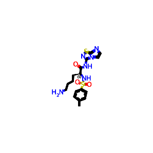 Cc1ccc(S(=O)(=O)N[C@@H](CCCCN)C(=O)Nc2nsc3nccn23)cc1